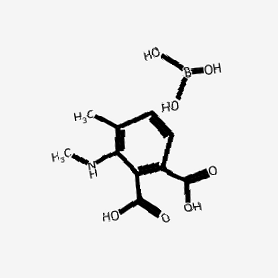 CNc1c(C)ccc(C(=O)O)c1C(=O)O.OB(O)O